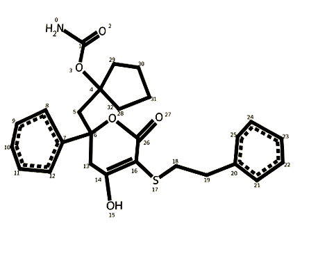 NC(=O)OC1(CC2(c3ccccc3)CC(O)=C(SCCc3ccccc3)C(=O)O2)CCCC1